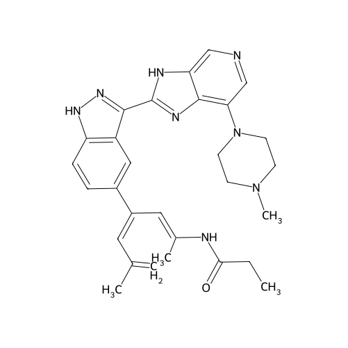 C=C(C)/C=C(\C=C(/C)NC(=O)CC)c1ccc2[nH]nc(-c3nc4c(N5CCN(C)CC5)cncc4[nH]3)c2c1